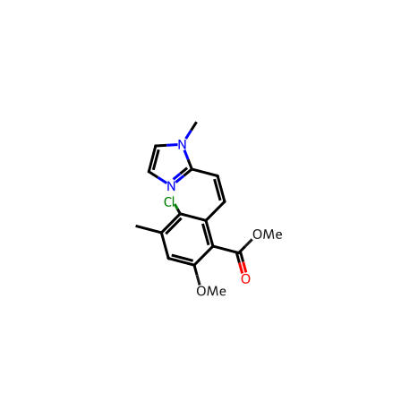 COC(=O)c1c(OC)cc(C)c(Cl)c1/C=C\c1nccn1C